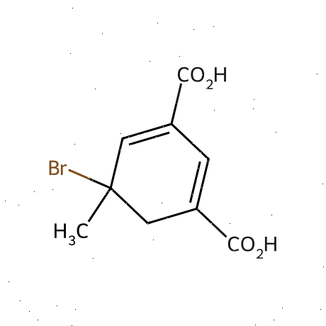 CC1(Br)C=C(C(=O)O)C=C(C(=O)O)C1